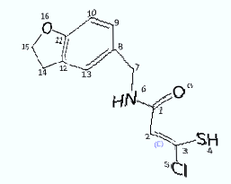 O=C(/C=C(\S)Cl)NCc1ccc2c(c1)CCO2